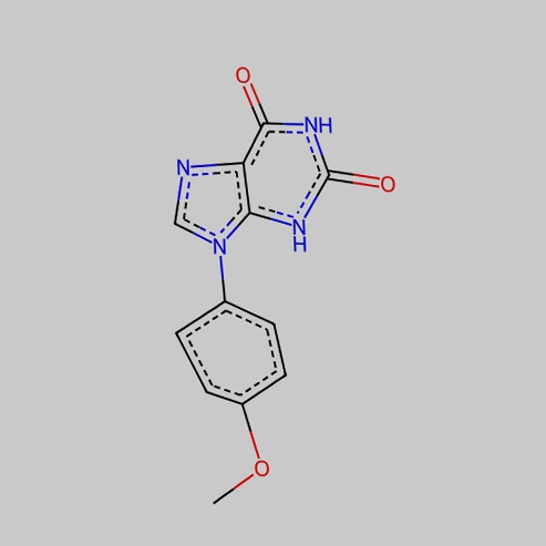 COc1ccc(-n2cnc3c(=O)[nH]c(=O)[nH]c32)cc1